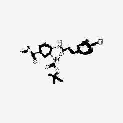 CN(C)C(=O)[C@H]1CC[C@H](NC(=O)/C=C/c2ccc(Cl)cc2)[C@H](NC(=O)OC(C)(C)C)C1